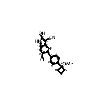 COC1(c2ccc(-c3nc4c(C#N)c(O)[nH]c4cc3Cl)cc2)CCC1